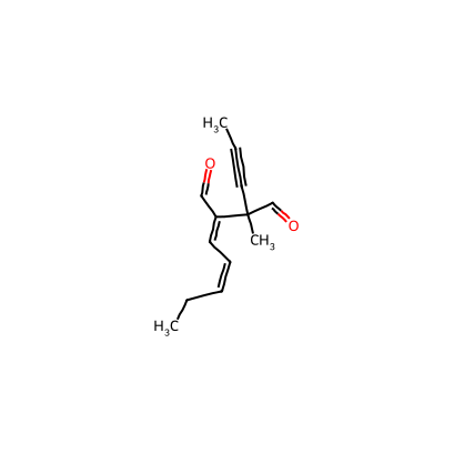 CC#CC(C)(C=O)/C(C=O)=C\C=C/CC